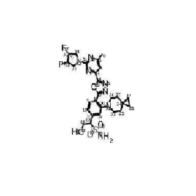 Cc1cc(-c2nnc(-c3ccc(C(CO)S(N)(=O)=O)cc3N3CCC4(CC3)CC4)o2)nc(N2C[C@@H](F)[C@@H](F)C2)n1